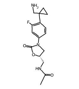 CC(=O)NC[C@H]1CN(c2ccc(C3(CN)CC3)c(F)c2)C(=O)O1